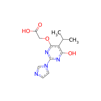 CC(C)c1c(O)nc(-n2ccnc2)nc1OCC(=O)O